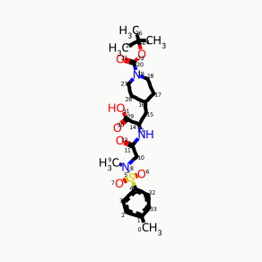 Cc1ccc(S(=O)(=O)N(C)CC(=O)NC(CC2CCN(C(=O)OC(C)(C)C)CC2)C(=O)O)cc1